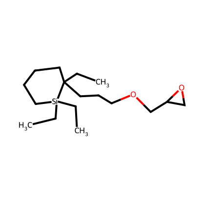 CCC1(CCCOCC2CO2)CCCC[Si]1(CC)CC